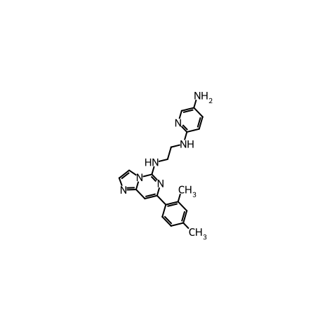 Cc1ccc(-c2cc3nccn3c(NCCNc3ccc(N)cn3)n2)c(C)c1